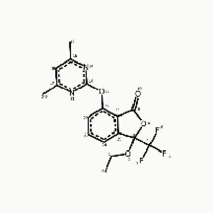 CCOC1(C(F)(F)F)OC(=O)c2c(Oc3nc(C)cc(C)n3)cccc21